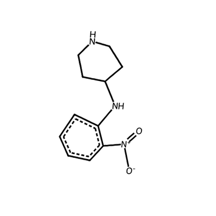 O=[N+]([O-])c1ccccc1NC1CCNCC1